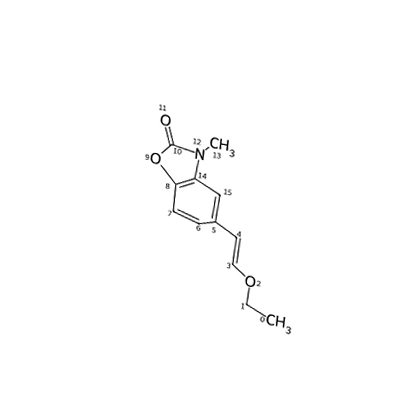 CCOC=Cc1ccc2oc(=O)n(C)c2c1